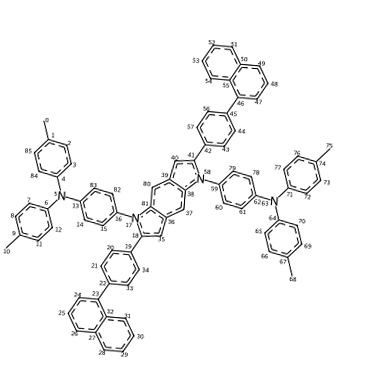 Cc1ccc(N(c2ccc(C)cc2)c2ccc(-n3c(-c4ccc(-c5cccc6ccccc56)cc4)cc4cc5c(cc(-c6ccc(-c7cccc8ccccc78)cc6)n5-c5ccc(N(c6ccc(C)cc6)c6ccc(C)cc6)cc5)cc43)cc2)cc1